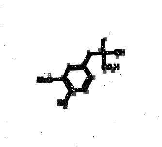 COc1cc(CC(C)(O)C(=O)O)ccc1O